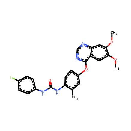 COc1cc2ncnc(Oc3ccc(NC(=O)Nc4ccc(F)cc4)c(C)c3)c2cc1OC